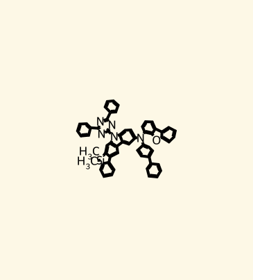 C[Si]1(C)c2ccccc2-c2cc3c4cc(N(c5ccc(-c6ccccc6)cc5)c5cccc6c5oc5ccccc56)ccc4n(-c4nc(-c5ccccc5)nc(-c5ccccc5)n4)c3cc21